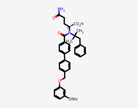 COc1cccc(OCc2ccc(-c3ccc(C(=O)N([C@@H](CCC(N)=O)C(=O)O)C(C)(C)Cc4ccccc4)cc3)cc2)c1